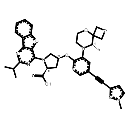 CC(C)c1nc(N2C[C@@H](Oc3ncc(C#Cc4ccn(C)n4)cc3N3CCOC4(COC4)[C@@H]3C)C[C@H]2C(=O)O)c2oc3ccccc3c2n1